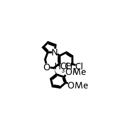 COc1cccc([C@@H]2OCc3cccn3C(/C=C\C(C)Cl)=C2C)c1OC